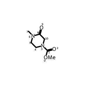 COC(=O)N1CCN(C)C(=O)C1